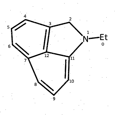 CCN1Cc2cccc3cccc1c23